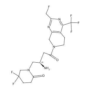 N[C@H](CC(=O)N1CCc2c(nc(CF)nc2C(F)(F)F)C1)CN1CC(F)(F)CCC1=O